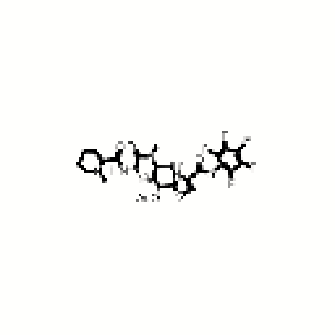 CC[C@H](C)[C@H](NC(=O)C1CCCCN1C)C(=O)N(C)[C@H](C[C@@H](OC(C)=O)c1nc(C(=O)Oc2c(F)c(F)c(F)c(F)c2F)cs1)C(C)C